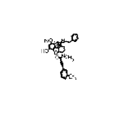 Cc1cccc(C#CC(=O)N(C)[C@H]2CC[C@H]3[C@H]4Cc5c([N+](=O)[O-])cc(O)c6c5[C@@]3(CCN4CCc3ccccc3)[C@H]2O6)c1